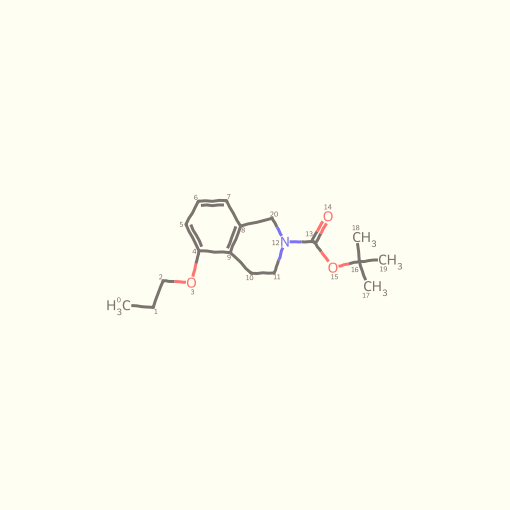 CCCOc1cccc2c1CCN(C(=O)OC(C)(C)C)C2